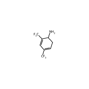 NC1CC=C(C(F)(F)F)C=C1C(F)(F)F